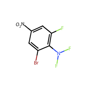 O=[N+]([O-])c1cc(F)c(N(F)F)c(Br)c1